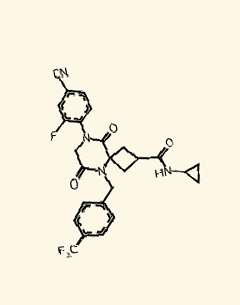 N#Cc1ccc(N2CC(=O)N(Cc3ccc(C(F)(F)F)cc3)C3(CC(C(=O)NC4CC4)C3)C2=O)c(F)c1